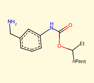 CCCCCC(CC)OC(=O)Nc1cccc(CN)c1